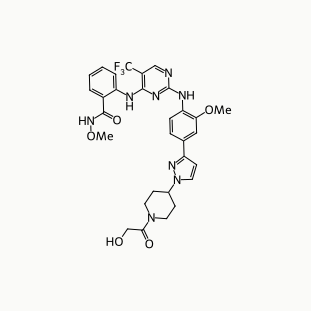 CONC(=O)c1ccccc1Nc1nc(Nc2ccc(-c3ccn(C4CCN(C(=O)CO)CC4)n3)cc2OC)ncc1C(F)(F)F